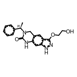 C[C@H](c1ccccc1)N1Cc2cc3c(OCCO)n[nH]c3cc2NC1=O